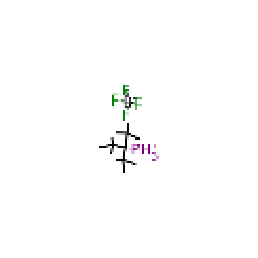 CC(C)(C)C([PH3+])(C(C)(C)C)C(C)(C)C.F[B-](F)(F)F